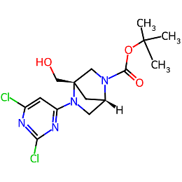 CC(C)(C)OC(=O)N1C[C@]2(CO)C[C@H]1CN2c1cc(Cl)nc(Cl)n1